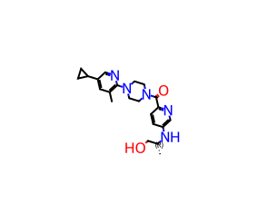 Cc1cc(C2CC2)cnc1N1CCN(C(=O)c2ccc(N[C@H](C)CO)cn2)CC1